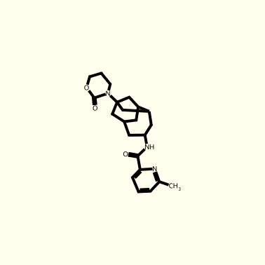 Cc1cccc(C(=O)NC2CC3CC4CC(N5CCCOC5=O)(C3)CC4C2)n1